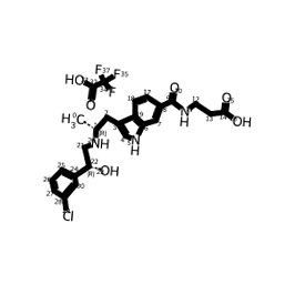 C[C@H](Cc1c[nH]c2cc(C(=O)NCCC(=O)O)ccc12)NC[C@H](O)c1cccc(Cl)c1.O=C(O)C(F)(F)F